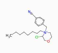 CCCCCCCC[N+]1(Cc2ccc(C#N)cc2)CCOCC1Cl